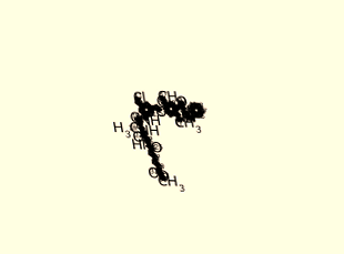 CNc1cc(OCc2cc(CCl)cc(NC(=O)C(C)NC(=O)CNC(=O)CCCCC(=O)OC)c2)c(OC)cc1C(=O)N1CCc2ccccc21